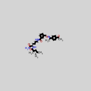 CC(=O)c1ccc(/C(C)=N/OCc2cccc(C(=O)NCCCC[C@H](NC(=O)[C@@H](C)CC(C)C)C(N)=O)c2)cc1